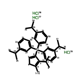 CC(C)C1=[C]([Ti])CC=C1[Si](c1cccc(C(C)C)c1)(c1cccc(C(C)C)c1)c1cccc(C(C)C)c1.Cl.Cl.Cl